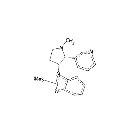 CSc1nc2ccccc2n1C1CCN(C)[C@@H]1c1cccnc1